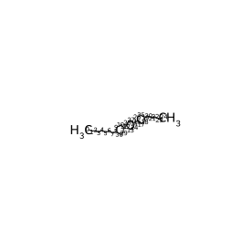 CCCCCCCC[C@H]1CC[C@H](c2ccc(C3=CCC(CCCCC)CC3)cc2)CC1